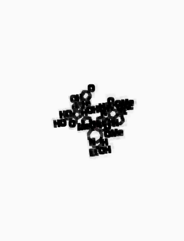 CC[C@]1(O)C[C@H]2C[N@](CCc3c([nH]c4ccccc34)[C@@](C(=O)OC)(c3cc4c(cc3OC)N(C=O)[C@H]3[C@@](O)(C(=O)OC)[C@H](OC(C)=O)[C@]5(CC)C=CCN6CC[C@]43[C@@H]65)C2)C1.C[C@@H]1C[C@H]2[C@@H]3CCC4=CC(=O)C=C[C@]4(C)[C@@]3(F)[C@@H](O)C[C@]2(C)[C@@]1(O)C(=O)CO